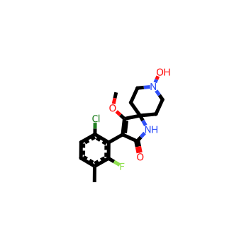 COC1=C(c2c(Cl)ccc(C)c2F)C(=O)NC12CCN(O)CC2